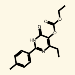 CCOC(=O)Oc1c(CC)nc(-c2ccc(C)cc2)[nH]c1=O